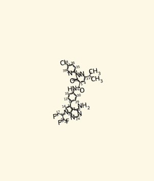 CC(C)c1cc(C(=O)Nc2ccc(-c3cn(C(CF)C(F)F)c4ncnc(N)c34)cc2)c(=O)n(-c2ccc(Cl)cn2)n1